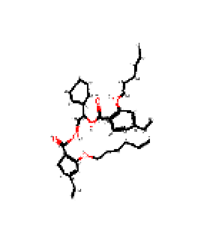 CCCCCCOc1cc(CC)ccc1C(=O)OCC(OC(=O)c1ccc(CC)cc1OCCCCCC)C1CCCCC1